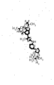 Cc1nc(Nc2cccc(N3CC[C@H](O[Si](C)(C)C(C)(C)C)C3=O)n2)sc1-c1cc2c(c(S(=O)(=O)NC(C)C)c1)C(=O)N([C@@H](C)C(F)(F)F)C2